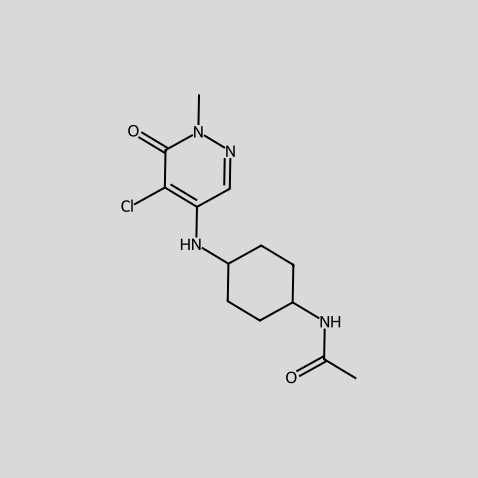 CC(=O)NC1CCC(Nc2cnn(C)c(=O)c2Cl)CC1